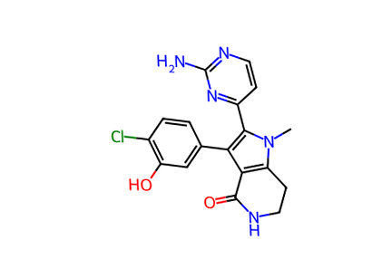 Cn1c2c(c(-c3ccc(Cl)c(O)c3)c1-c1ccnc(N)n1)C(=O)NCC2